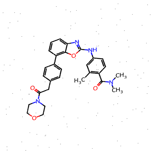 Cc1cc(Nc2nc3cccc(-c4ccc(CC(=O)N5CCOCC5)cc4)c3o2)ccc1C(=O)N(C)C